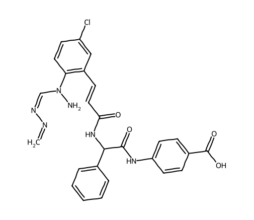 C=N/N=C\N(N)c1ccc(Cl)cc1/C=C/C(=O)NC(C(=O)Nc1ccc(C(=O)O)cc1)c1ccccc1